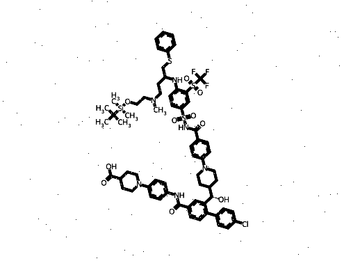 CN(CCO[Si](C)(C)C(C)(C)C)CCC(CSc1ccccc1)Nc1ccc(S(=O)(=O)NC(=O)c2ccc(N3CCC([C@H](O)c4cc(C(=O)Nc5ccc(N6CCC(C(=O)O)CC6)cc5)ccc4-c4ccc(Cl)cc4)CC3)cc2)cc1S(=O)(=O)C(F)(F)F